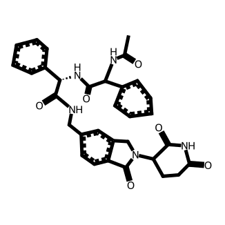 CC(=O)NC(C(=O)N[C@H](C(=O)NCc1ccc2c(c1)CN(C1CCC(=O)NC1=O)C2=O)c1ccccc1)c1ccccc1